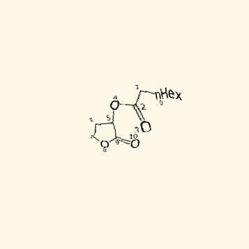 CCCCCCCC(=O)OC1CCOC1=O